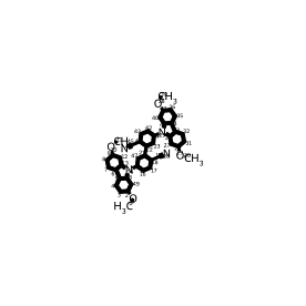 COc1ccc2c3ccc(OC)cc3n(-c3ccc(C#N)c(-c4cc(-n5c6cc(OC)ccc6c6ccc(OC)cc65)ccc4C#N)c3)c2c1